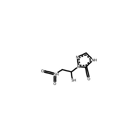 O=c1[nH]cnn1C(S)C[SH](=O)=O